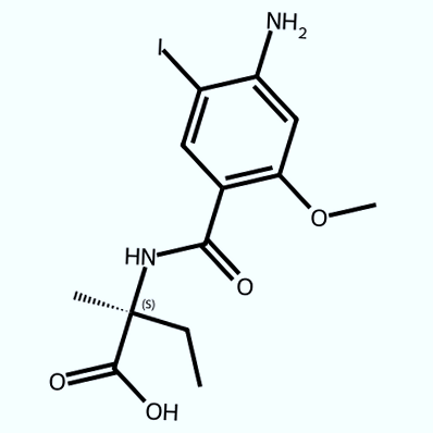 CC[C@](C)(NC(=O)c1cc(I)c(N)cc1OC)C(=O)O